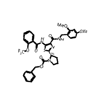 COc1ccc(CNC(=O)c2nc([C@H]3CCCN3C(=O)OCc3ccccc3)sc2NC(=O)c2ccccc2OC(F)(F)F)c(OC)c1